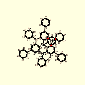 c1ccc(-c2cc3c4c(c2)N(c2ccccc2)c2cc(-c5ccccc5)c5c6c2[Si]4(c2ccccc2)c2c(cc(-c4ccccc4)cc2N6c2ccccc2O5)N3c2ccccc2)cc1